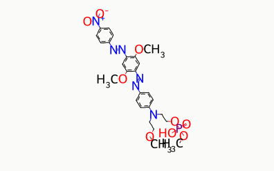 COCCN(CCOP(=O)(O)OC)c1ccc(N=Nc2cc(OC)c(N=Nc3ccc([N+](=O)[O-])cc3)cc2OC)cc1